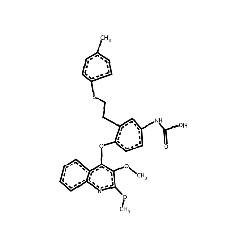 COc1nc2ccccc2c(Oc2ccc(NC(=O)O)cc2CCSc2ccc(C)cc2)c1OC